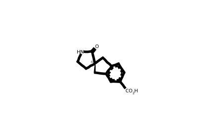 O=C(O)c1ccc2c(c1)C[C@]1(CCNC1=O)C2